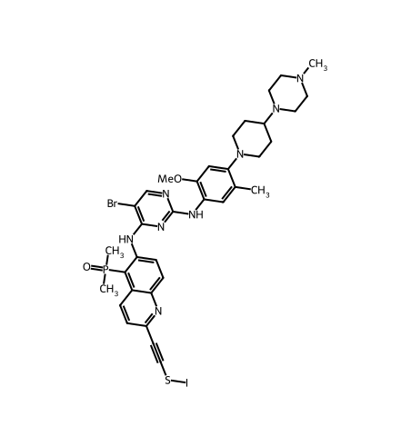 COc1cc(N2CCC(N3CCN(C)CC3)CC2)c(C)cc1Nc1ncc(Br)c(Nc2ccc3nc(C#CSI)ccc3c2P(C)(C)=O)n1